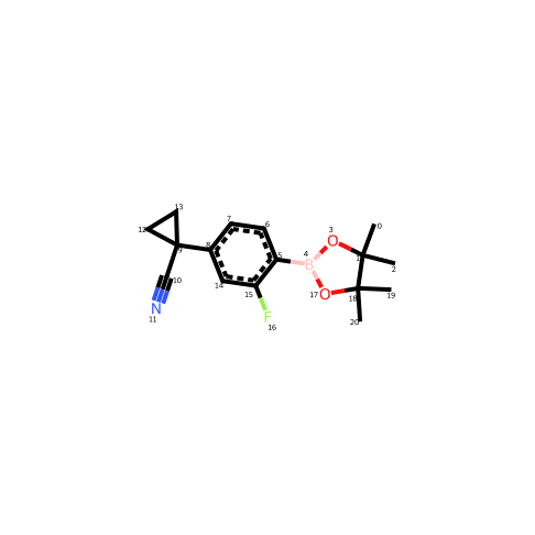 CC1(C)OB(c2ccc(C3(C#N)CC3)cc2F)OC1(C)C